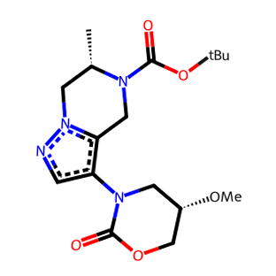 CO[C@@H]1COC(=O)N(c2cnn3c2CN(C(=O)OC(C)(C)C)[C@@H](C)C3)C1